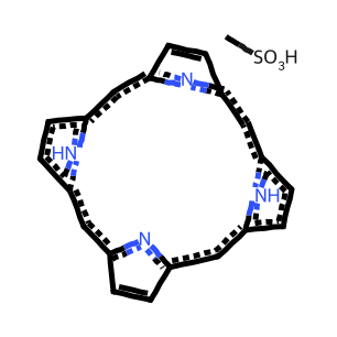 C1=Cc2cc3ccc(cc4nc(cc5ccc(cc1n2)[nH]5)C=C4)[nH]3.CS(=O)(=O)O